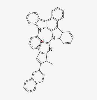 CC1C(c2ccc3ccccc3c2)=Cc2cnc(N3c4c(c5ccccc5c5c6ccccc6n(-c6ccccc6)c45)C4C=CC=CC43)nc21